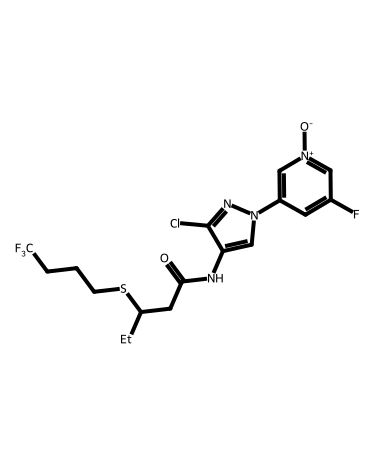 CCC(CC(=O)Nc1cn(-c2cc(F)c[n+]([O-])c2)nc1Cl)SCCCC(F)(F)F